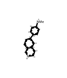 CNc1ccc(-c2ccc3cnccc3c2)cc1